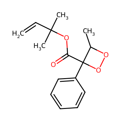 C=CC(C)(C)OC(=O)C1(c2ccccc2)OOC1C